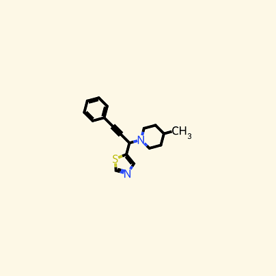 CC1CCN(C(C#Cc2ccccc2)c2cncs2)CC1